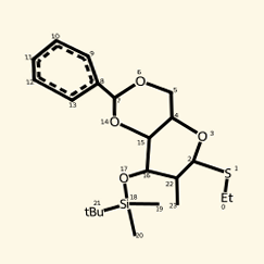 CCSC1OC2COC(c3ccccc3)OC2C(O[Si](C)(C)C(C)(C)C)C1C